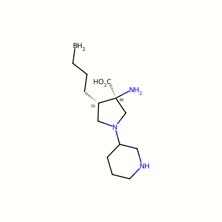 BCCC[C@H]1CN(C2CCCNC2)C[C@@]1(N)C(=O)O